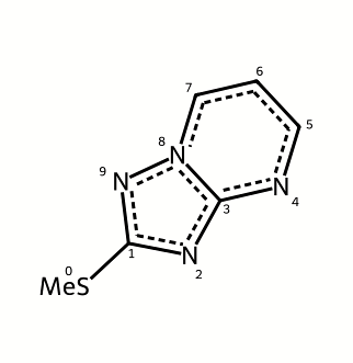 CSc1nc2ncccn2n1